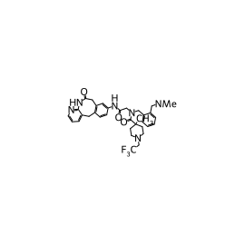 CNCc1ccccc1CN(CC(=O)Nc1ccc2c(c1)CC(=O)Nc1ncccc1C2)C(=O)C1(C)CCN(CC(F)(F)F)CC1